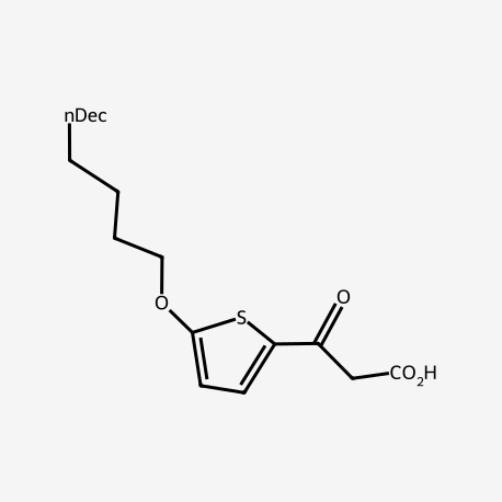 CCCCCCCCCCCCCCOc1ccc(C(=O)CC(=O)O)s1